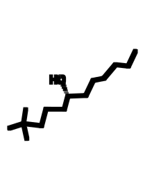 CCCCCC[C@@H](O)CCCC(C)(C)C